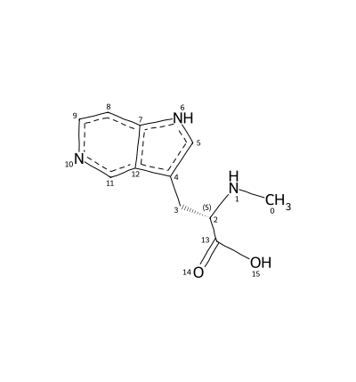 CN[C@@H](Cc1c[nH]c2ccncc12)C(=O)O